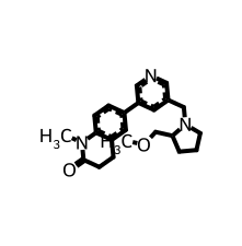 COCC1CCCN1Cc1cncc(-c2ccc3c(c2)CCC(=O)N3C)c1